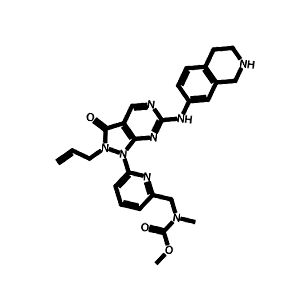 C=CCn1c(=O)c2cnc(Nc3ccc4c(c3)CNCC4)nc2n1-c1cccc(CN(C)C(=O)OC)n1